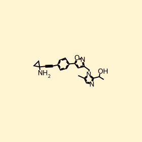 Cc1cnc(C(C)O)n1Cc1cc(-c2ccc(C#CC3(N)CC3)cc2)on1